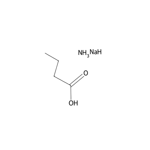 CCCC(=O)O.N.[NaH]